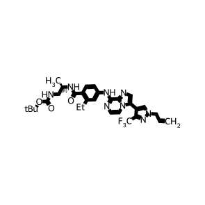 C=CCn1cc(-c2cnc3c(Nc4ccc(C(=O)N[C@H](C)CNC(=O)OC(C)(C)C)c(CC)c4)nccn23)c(C(F)(F)F)n1